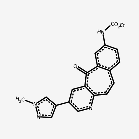 CCOC(=O)Nc1ccc2ccc3ncc(-c4cnn(C)c4)cc3c(=O)c2c1